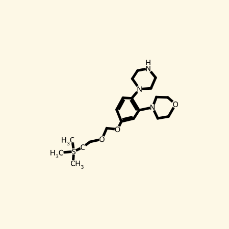 CS(C)(C)CCOCOc1ccc(N2CCNCC2)c(N2CCOCC2)c1